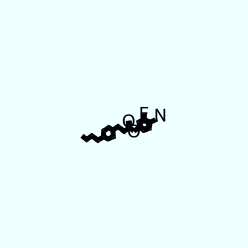 CCCCC1CCC(CCC(=O)Oc2ccc(C#N)c(F)c2)CC1